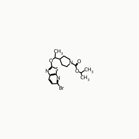 CC(C)OC(=O)N1CCC(C(C)Oc2nc3ccc(Br)nc3s2)CC1